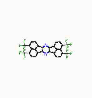 FC(F)(F)c1ccc2c3nc4c5ccc(C(F)(F)F)c6c(C(F)(F)F)ccc(c4nc3c3ccc(C(F)(F)F)c1c23)c65